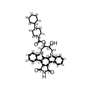 O=C1NC(=O)c2c1c1c3ccccc3n3c1c1c2c2ccccc2n1CC(OC(=O)N1CCN(C2CCCCC2)CC1)C(O)C3